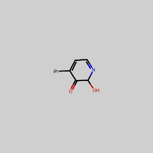 CC(C)C1=CC=NC(O)C1=O